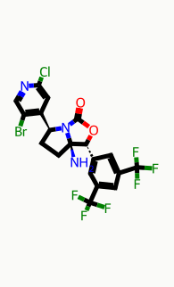 N[C@@]12CC[C@@H](c3cc(Cl)ncc3Br)N1C(=O)O[C@@H]2c1cc(C(F)(F)F)cc(C(F)(F)F)c1